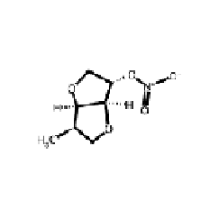 C[C@@H]1CO[C@H]2[C@@H]1OC[C@@H]2O[N+](=O)[O-]